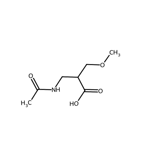 COCC(CNC(C)=O)C(=O)O